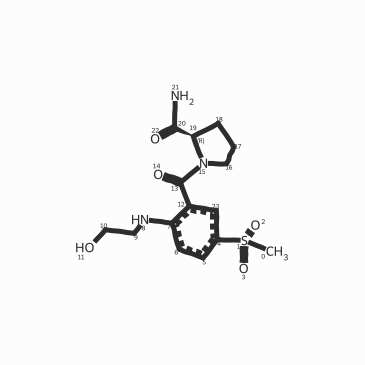 CS(=O)(=O)c1ccc(NCCO)c(C(=O)N2CCC[C@@H]2C(N)=O)c1